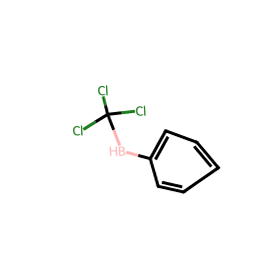 ClC(Cl)(Cl)Bc1ccccc1